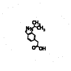 CC(C)n1ncc2ccc(CC(=O)O)cc21